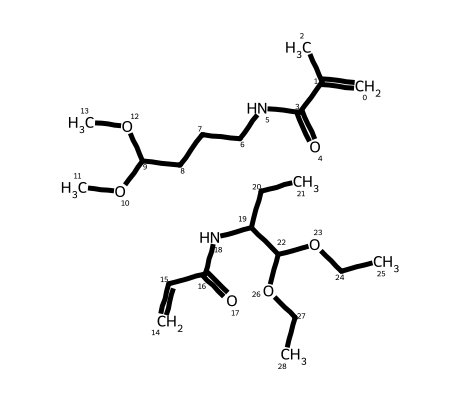 C=C(C)C(=O)NCCCC(OC)OC.C=CC(=O)NC(CC)C(OCC)OCC